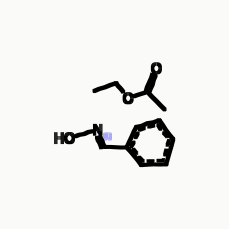 CCOC(C)=O.O/N=C/c1ccccc1